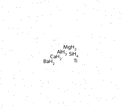 [AlH3].[BaH2].[CaH2].[MgH2].[SiH4].[Ti]